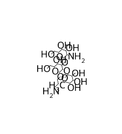 CC1O[C@@H](O[C@H]2C(O[C@@H]3OC(CO)[C@H](O)[C@H](O)C3N)[C@@H](O)C(CO)O[C@H]2OCCCN)[C@@H](O)C(O)[C@@H]1O